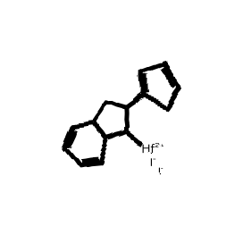 [Hf+2][CH]1C(C2=CC=CC2)CC2C=CC=CC21.[I-].[I-]